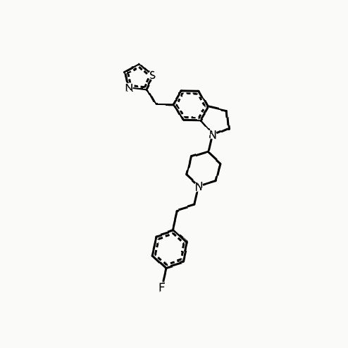 Fc1ccc(CCN2CCC(N3CCc4ccc(Cc5nccs5)cc43)CC2)cc1